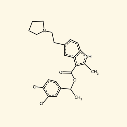 Cc1[nH]c2ccc(CCN3CCCC3)cc2c1C(=O)OC(C)c1ccc(Cl)c(Cl)c1